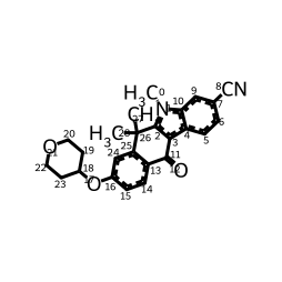 Cn1c2c(c3ccc(C#N)cc31)C(=O)c1ccc(OC3CCOCC3)cc1C2(C)C